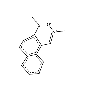 CSc1ccc2ccccc2c1C=[N+](C)[O-]